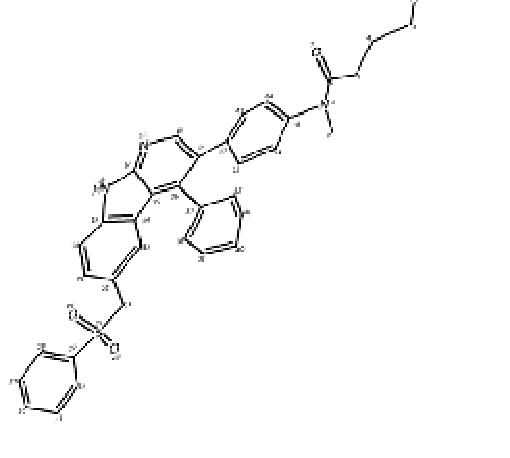 CN(C)CCCC(=O)N(C)c1ccc(-c2cnc3[nH]c4ccc(CS(=O)(=O)c5ccccc5)cc4c3c2-c2ccccc2)cc1